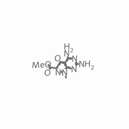 COC(=O)c1nn(C)c2nc(N)nc(N)c2c1=O